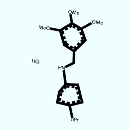 CCCc1ccc(NCc2cc(OC)c(OC)c(OC)c2)cc1.Cl